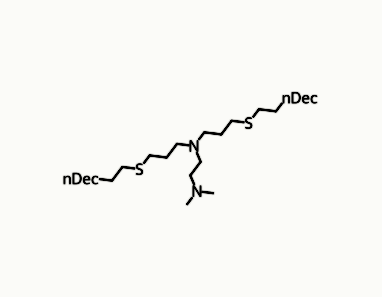 CCCCCCCCCCCCSCCCN(CCCSCCCCCCCCCCCC)CCN(C)C